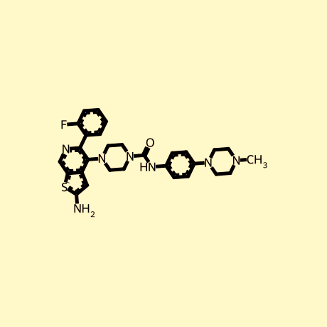 CN1CCN(c2ccc(NC(=O)N3CCN(c4c(-c5ccccc5F)ncc5sc(N)cc45)CC3)cc2)CC1